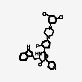 O=C(N[C@H](Cc1c[nH]c2ccccc12)C(=O)Nc1ccncc1)c1ccc(N2CCN(c3cc(Cl)cc(Cl)c3)CC2)cc1F